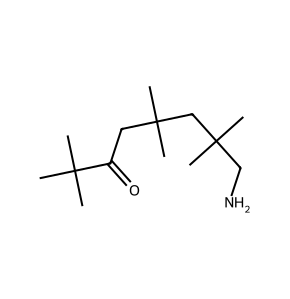 CC(C)(CN)CC(C)(C)CC(=O)C(C)(C)C